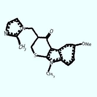 COc1ccc2c(c1)c1c(n2C)SCC(Cn2ccnc2C)C1=O